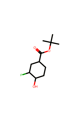 CC(C)(C)OC(=O)C1CCC(O)C(F)C1